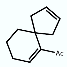 CC(=O)C1=CCCCC12CC=CC2